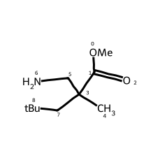 COC(=O)C(C)(CN)CC(C)(C)C